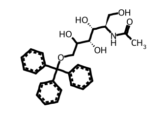 CC(=O)N[C@H](CO)[C@@H](O)[C@H](O)C(O)COC(c1ccccc1)(c1ccccc1)c1ccccc1